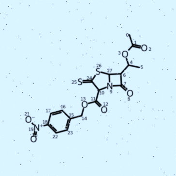 CC(=O)OC(C)C1C(=O)N2C(C(=O)OCc3ccc([N+](=O)[O-])cc3)C(=S)SC12